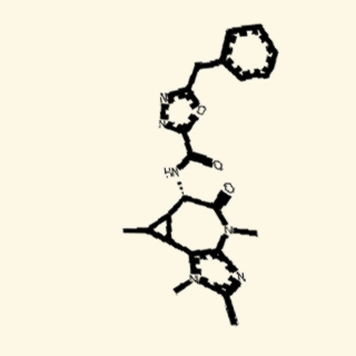 Cc1nc2c(n1C)C1C(C)C1[C@H](NC(=O)c1nnc(Cc3ccccc3)o1)C(=O)N2C